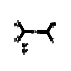 CC(C)[O-].O=C([O-])O.[Cs+].[Na+]